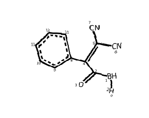 [2H]BC(=O)C(=C(C#N)C#N)c1ccccc1